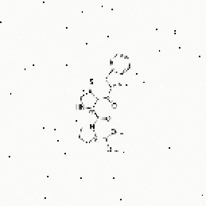 COC(OC)[C@@H]1CCCN1C(=O)[C@H]1NCC(=S)C1C(=O)C1=Cc2ccccc2C1